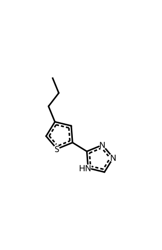 CCCc1csc(-c2nnc[nH]2)c1